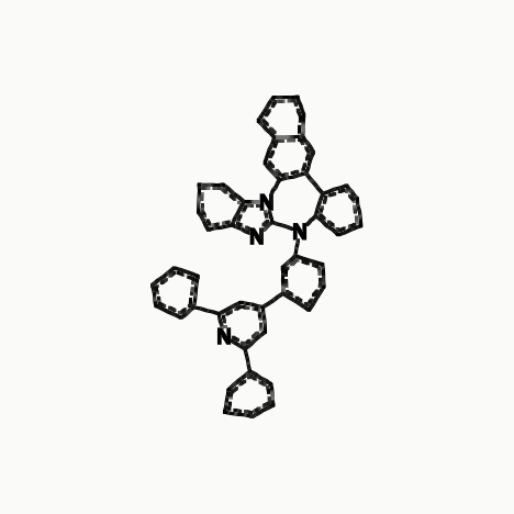 c1ccc(-c2cc(-c3cccc(N4c5ccccc5-c5cc6ccccc6cc5-n5c4nc4ccccc45)c3)cc(-c3ccccc3)n2)cc1